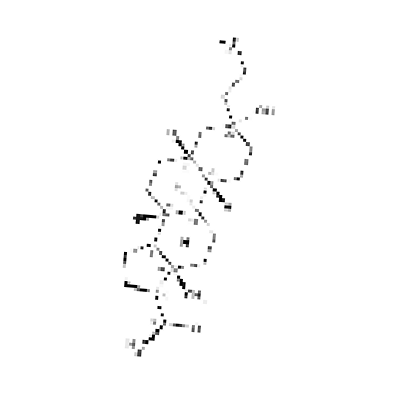 CCC[C@@]1(O)CC[C@H]2[C@H](CC[C@@H]3[C@@H]2CC[C@]2(C)[C@@H]([C@H](C)O)CC[C@@H]32)C1